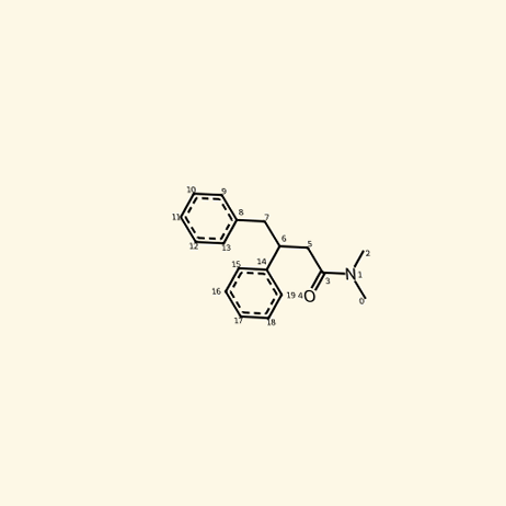 CN(C)C(=O)CC(Cc1ccccc1)c1ccccc1